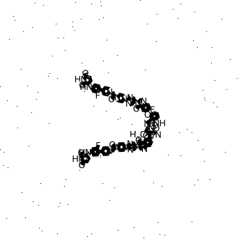 CO[C@@]1(Oc2ccc3ncn(-c4cnc(N5CCN(C(=O)CN6CCC(c7ccc(N[C@H]8CCC(=O)NC8=O)cc7F)CC6)CC5)nc4)c(=O)c3c2)CCN(S(=O)(=O)Nc2ccc(F)c(Oc3ccc4ncn(-c5cnc(N6CCN(C(=O)CN7CCC(c8ccc(N[C@@H]9CCC(=O)NC9=O)cc8F)CC7)CC6)nc5)c(=O)c4c3)c2C#N)C1C#N